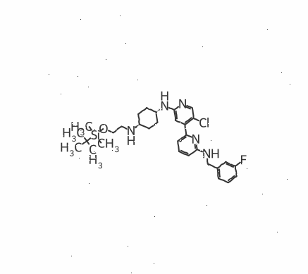 CC(C)(C)[Si](C)(C)OCCN[C@H]1CC[C@H](Nc2cc(-c3cccc(NCc4cccc(F)c4)n3)c(Cl)cn2)CC1